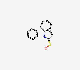 O=S=C1C=c2ccccc2=N1.c1ccccc1